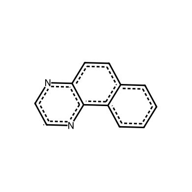 [c]1cnc2ccc3ccccc3c2n1